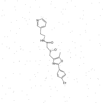 CCc1ccc(-c2nc(C[S+]([O-])CC(=O)NCCc3cccnc3)c(C)o2)cc1